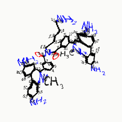 C[n+]1c(-c2cccc(C(=O)N(CCCCCN)C(=O)c3cccc(-c4c5cc(N)ccc5c5ccc(N)cc5[n+]4C)c3)c2)c2cc(N)ccc2c2ccc(N)cc21